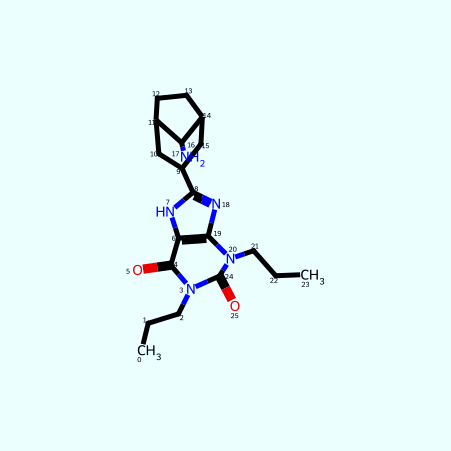 CCCn1c(=O)c2[nH]c(C3CC4CCC(C3)C4N)nc2n(CCC)c1=O